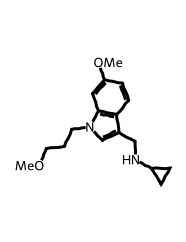 COCCCn1cc(CNC2CC2)c2ccc(OC)cc21